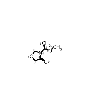 COC(C)N1COCC1=O